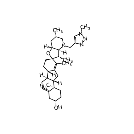 CC1=C2C[C@H]3[C@@H](CC=C4C[C@@H](O)CC[C@@]43C)[C@@H]2CC[C@]12O[C@@H]1C[C@H](C)CN(Cc3cn(C)nn3)[C@H]1[C@H]2C